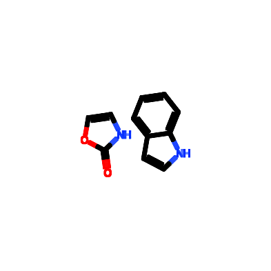 O=c1[nH]cco1.c1ccc2[nH]ccc2c1